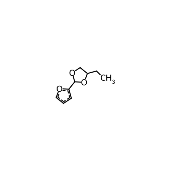 CCC1COC(c2ccco2)O1